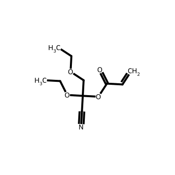 C=CC(=O)OC(C#N)(COCC)OCC